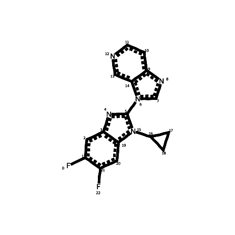 Fc1cc2nc(-n3cnc4ccncc43)n(C3CC3)c2cc1F